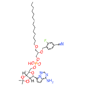 CCCCCCCCCCCCCCOC[C@H](COP(=O)(O)OC[C@@]1(C)O[C@@H](c2ccc3c(N)ncnn23)[C@@H]2OC(C)(C)O[C@@H]21)OCc1ccc(C#N)cc1F